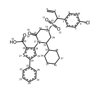 C=CC(c1ccc(Cl)nc1)S(=O)(=O)N1CC(=O)N(c2cc(-c3ccccc3)sc2C(=O)O)C(C2CCCCC2)C1